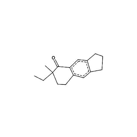 CCC1(C)CCc2cc3c(cc2C1=O)CCC3